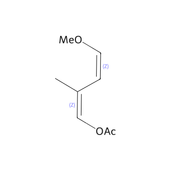 CO/C=C\C(C)=C/OC(C)=O